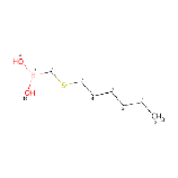 CCCCCCSCB(O)O